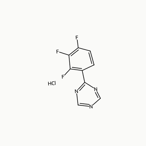 Cl.Fc1ccc(-c2ncncn2)c(F)c1F